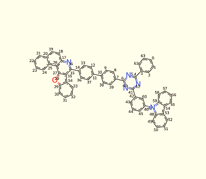 c1ccc(-c2nc(-c3ccc(-c4ccc(-c5nc6ccc7ccccc7c6c6oc7ccccc7c56)cc4)cc3)nc(-c3cccc(-n4c5ccccc5c5ccccc54)c3)n2)cc1